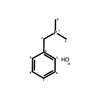 CP(C)Cc1ccccc1.Cl